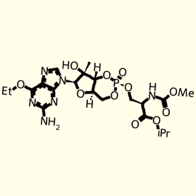 CCOc1nc(N)nc2c1ncn2[C@@H]1O[C@@H]2CO[P@@](=O)(OC[C@@H](NC(=O)OC)C(=O)OC(C)C)O[C@H]2[C@@]1(C)O